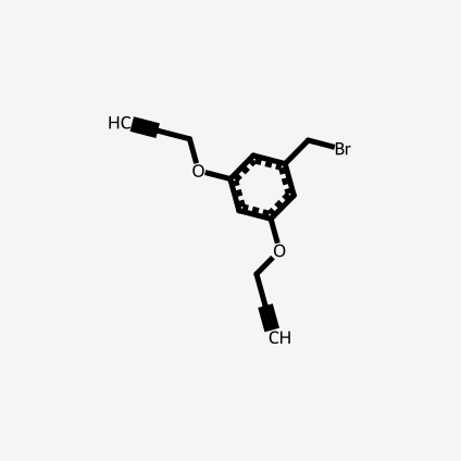 C#CCOc1cc(CBr)cc(OCC#C)c1